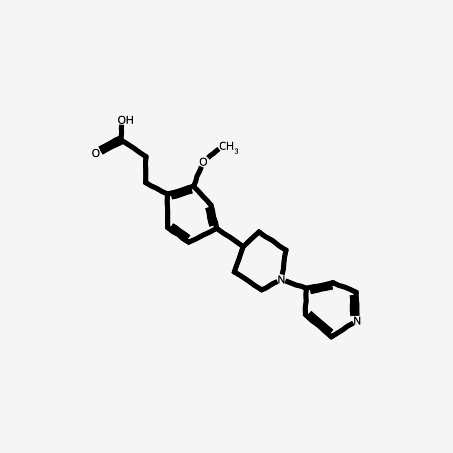 COc1cc(C2CCN(c3ccncc3)CC2)ccc1CCC(=O)O